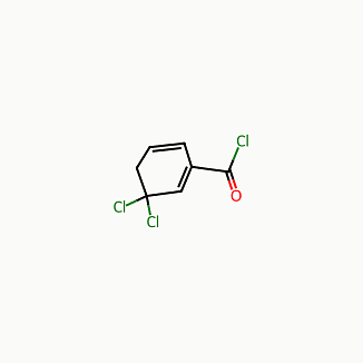 O=C(Cl)C1=CC(Cl)(Cl)CC=C1